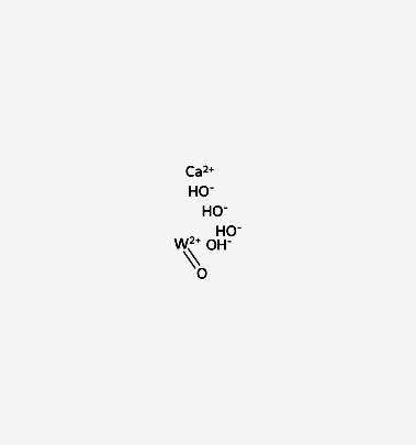 [Ca+2].[OH-].[OH-].[OH-].[OH-].[O]=[W+2]